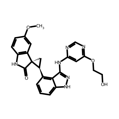 COc1ccc2c(c1)[C@]1(C[C@H]1c1cccc3[nH]nc(Nc4cc(OCCO)ncn4)c13)C(=O)N2